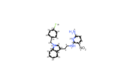 Nc1ccc([N+](=O)[O-])c(NCCc2cn(Cc3ccc(F)cc3)c3ccccc23)n1